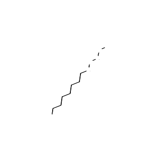 CCCCCCCC[SiH2]O[SiH2]O[SiH3]